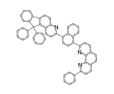 c1ccc(-c2ccc3ccc4ccc(-c5ccc(-c6ccc7c8c(ccc7n6)-c6ccccc6C8(c6ccccc6)c6ccccc6)c6ccccc56)nc4c3n2)cc1